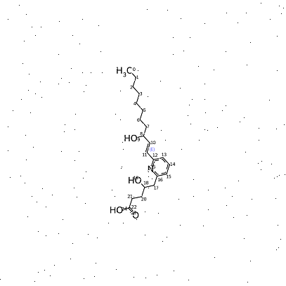 CCCCCCCCC(O)/C=C/c1cccc(CC(O)CCC(=O)O)n1